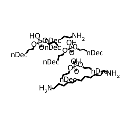 CCCCCCCCCCCCN.CCCCCCCCCCCCOP(=O)(O)OCCCCCCCCCCCC.CCCCCCCCCCCCOP(=O)(O)OCCCCCCCCCCCC.CCCCCCCCCCCCOP(=O)(O)OCCCCCCCCCCCC.NCCCCCCCCCCCCN